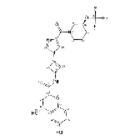 O=C(NC12CC(n3cnc(C(=O)N4CCC[C@H](OC(F)(F)F)C4)c3)(C1)C2)[C@H]1C[C@@H](O)c2cc(Cl)ccc2O1